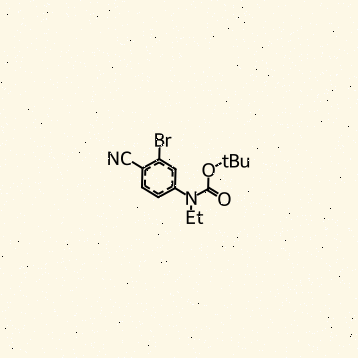 CCN(C(=O)OC(C)(C)C)c1ccc(C#N)c(Br)c1